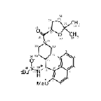 COc1ccc2ccccc2c1[C@H](N[S+]([O-])C(C)(C)C)C1CCN(C(=O)[C@H]2COC(C)(C)O2)CC1